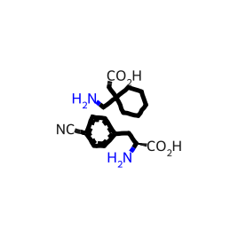 N#Cc1ccc(C[C@H](N)C(=O)O)cc1.NCC1(CC(=O)O)CCCCC1